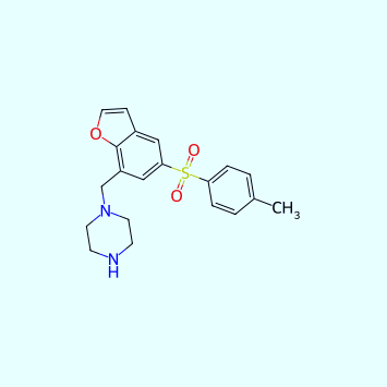 Cc1ccc(S(=O)(=O)c2cc(CN3CCNCC3)c3occc3c2)cc1